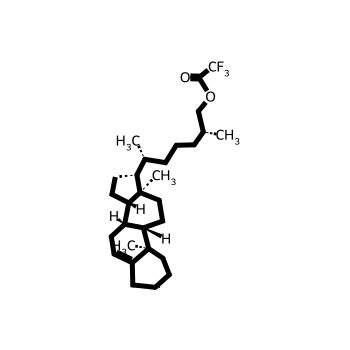 C[C@H](CCC[C@@H](C)[C@H]1CC[C@H]2[C@@H]3CC=C4C[CH]CC[C@]4(C)[C@H]3CC[C@]12C)COC(=O)C(F)(F)F